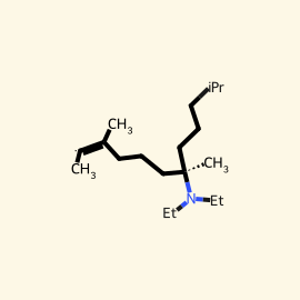 C/[C]=C(/C)CCC[C@@](C)(CCCC(C)C)N(CC)CC